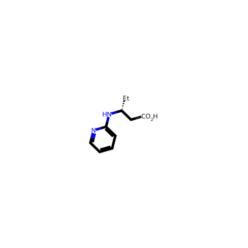 CC[C@H](CC(=O)O)Nc1ccccn1